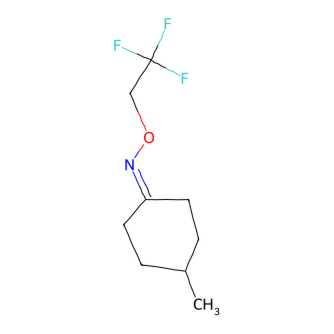 CC1CCC(=NOCC(F)(F)F)CC1